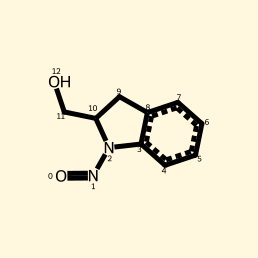 O=NN1c2ccccc2CC1CO